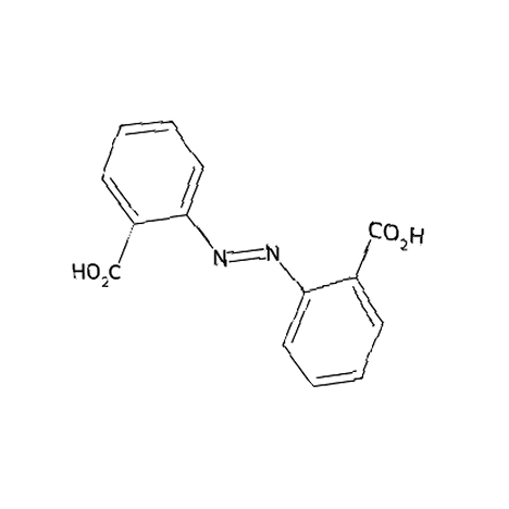 O=C(O)c1ccccc1/N=N/c1ccccc1C(=O)O